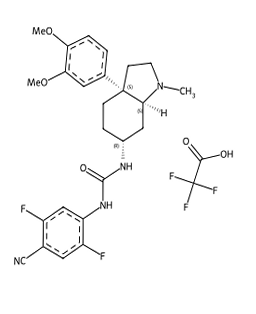 COc1ccc([C@@]23CC[C@@H](NC(=O)Nc4cc(F)c(C#N)cc4F)C[C@@H]2N(C)CC3)cc1OC.O=C(O)C(F)(F)F